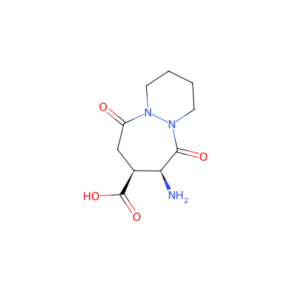 N[C@@H]1C(=O)N2CCCCN2C(=O)C[C@@H]1C(=O)O